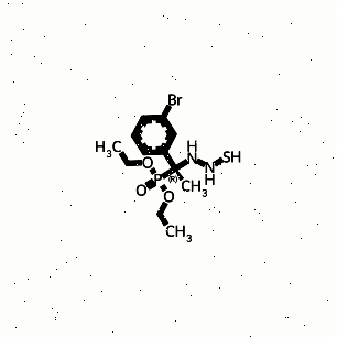 CCOP(=O)(OCC)[C@@](C)(NNS)c1cccc(Br)c1